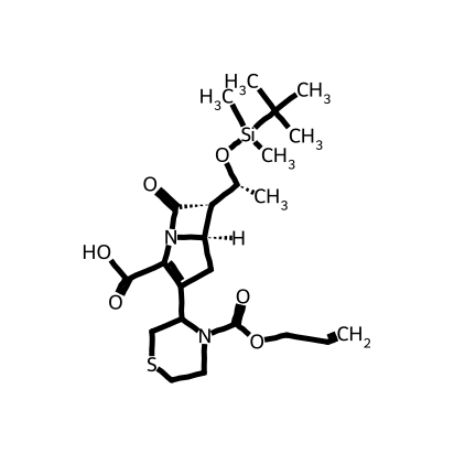 C=CCOC(=O)N1CCSCC1C1=C(C(=O)O)N2C(=O)[C@H]([C@@H](C)O[Si](C)(C)C(C)(C)C)[C@H]2C1